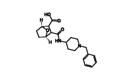 O=C(O)C1C(C(=O)NC2CCN(Cc3ccccc3)CC2)[C@H]2CC[C@@H]1O2